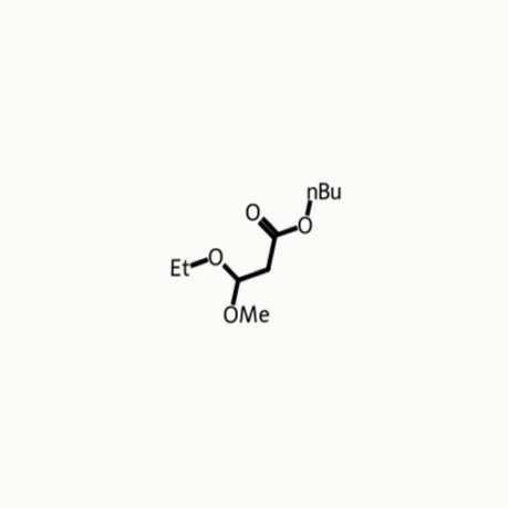 CCCCOC(=O)CC(OC)OCC